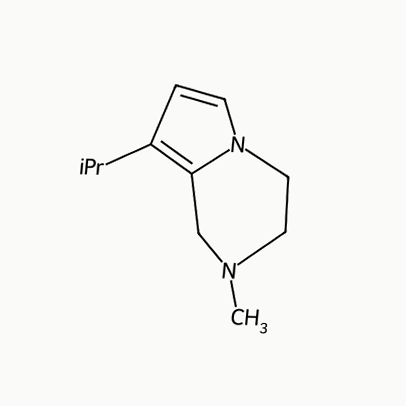 CC(C)c1ccn2c1CN(C)CC2